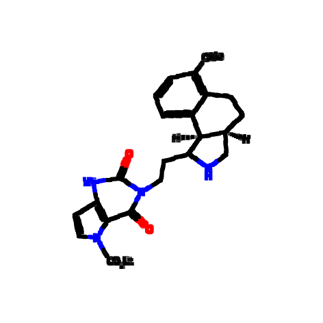 CCOC(=O)n1ccc2[nH]c(=O)n(CCC3NC[C@@H]4CCc5c(OC)cccc5[C@H]34)c(=O)c21